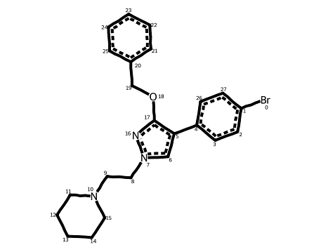 Brc1ccc(-c2cn(CCN3CCCCC3)nc2OCc2ccccc2)cc1